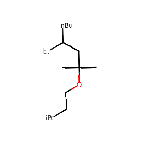 CCCCC(CC)CC(C)(C)OCCC(C)C